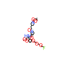 COC(=O)C[C@H](NC(=O)[C@@H]1CCCN(C(=O)CCC2CCN(C(=O)OC(C)(C)C)CC2)C1)c1cccc(OCCOCCOCCF)c1